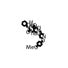 CCCCN1C(=O)[C@@H](CC2(O)CCCCC2)NC(=O)C12CCN(Cc1ccc(Oc3ccc(OC)cc3)nc1)CC2.Cl